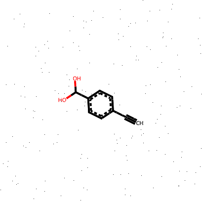 C#Cc1ccc(C(O)O)cc1